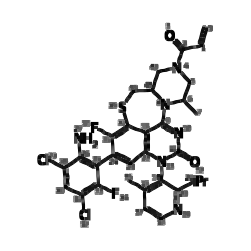 C=CC(=O)N1CC(C)N2c3nc(=O)n(-c4c(C)ccnc4C(C)C)c4cc(-c5c(N)c(Cl)cc(Cl)c5F)c(F)c(c34)SCC2C1